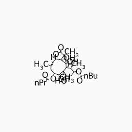 CCCCC(=O)O[C@H]1C[C@H](O)[C@@]2(C)[C@H]([C@H]1C)[C@H](O)[C@@]1(I)[C@H](/C=C(/C)C[C@H](OC(=O)CCC)[C@@H]2O)OC(=O)C1(C)O